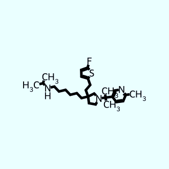 Cc1ccc(C(C)(C)N2CCC(CCCCCCNC(C)C)(CCc3ccc(F)s3)C2)cn1